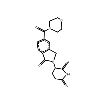 O=C1CCC(N2Cc3cc(C(=O)N4CCOCC4)ccc3C2=O)C(=O)N1